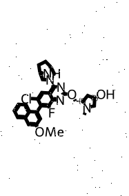 COc1cc(-c2c(Cl)cc3c(N4CC5CCC(C4)N5)nc(OC[C@@H]4C[C@@H](O)CN4C)nc3c2F)c2ccccc2c1